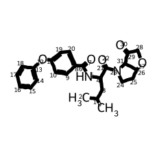 CC(C)CC(NC(=O)c1ccc(Oc2ccccc2)cc1)C(=O)N1CCC2OCC(=O)C21